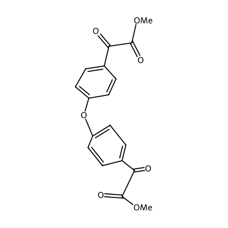 COC(=O)C(=O)c1ccc(Oc2ccc(C(=O)C(=O)OC)cc2)cc1